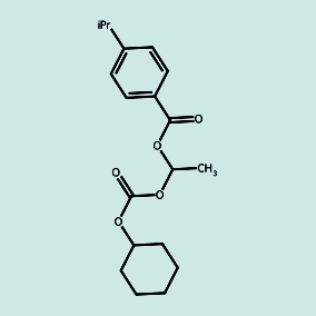 CC(OC(=O)OC1CCCCC1)OC(=O)c1ccc(C(C)C)cc1